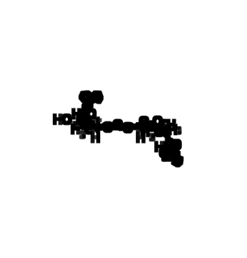 CCC(C)(NCCCOCCOCCOCCCNC(=O)COCC(=O)C(C)(C)NCCCCC(NC(=O)OC(C)(C)C)C(=O)OCC1CCCCC1)C(=O)C[C@H](NC(=O)OCC1c2ccccc2-c2ccccc21)C(=O)O